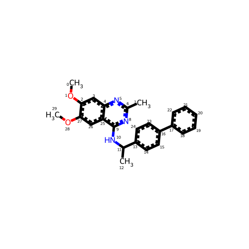 COc1cc2nc(C)nc(NC(C)c3ccc(-c4ccccc4)cc3)c2cc1OC